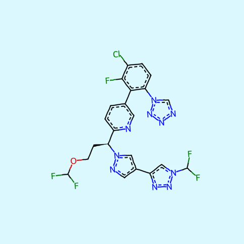 Fc1c(Cl)ccc(-n2cnnn2)c1-c1ccc([C@H](CCOC(F)F)n2cc(-c3cn(C(F)F)nn3)cn2)nc1